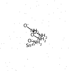 N[O-].N[O-].N[O-].N[O-].[Sn+4]